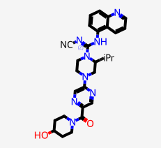 CC(C)C1CN(c2cnc(C(=O)N3CCC(O)CC3)cn2)CCN1/C(=N\C#N)Nc1cccc2ncccc12